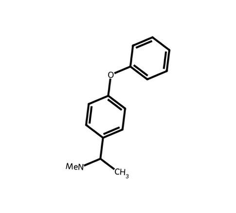 CNC(C)c1ccc(Oc2ccccc2)cc1